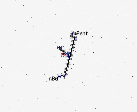 CCCC/C=C/C/C=C\CCCCCCCCC(CCCCCCCC/C=C\C/C=C\CCCCC)=NNC(=O)CCN(C)C